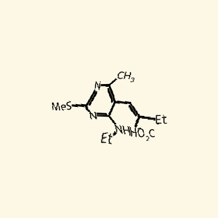 CCNc1nc(SC)nc(C)c1C=C(CC)C(=O)O